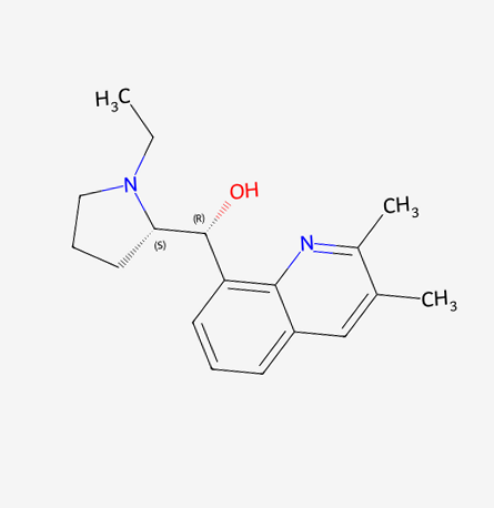 CCN1CCC[C@H]1[C@H](O)c1cccc2cc(C)c(C)nc12